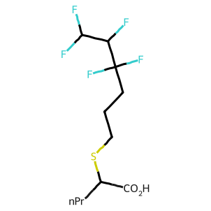 CCCC(SCCCC(F)(F)C(F)C(F)F)C(=O)O